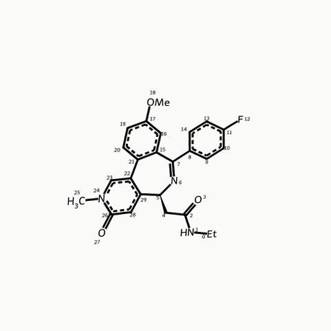 CCNC(=O)C[C@@H]1N=C(c2ccc(F)cc2)c2cc(OC)ccc2-c2cn(C)c(=O)cc21